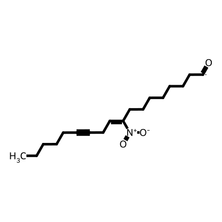 CCCCCC#CC/C=C(/CCCCCCC[C]=O)[N+](=O)[O-]